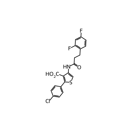 O=C(CCc1ccc(F)cc1F)Nc1csc(-c2ccc(Cl)cc2)c1C(=O)O